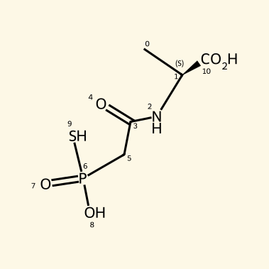 C[C@H](NC(=O)CP(=O)(O)S)C(=O)O